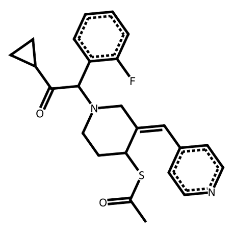 CC(=O)SC1CCN(C(C(=O)C2CC2)c2ccccc2F)CC1=Cc1ccncc1